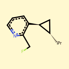 CC(C)[C@H]1C[C@@H]1c1cccnc1CF